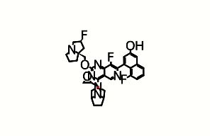 Oc1cc(-c2ncc3c(N4CC5CCC(C4)N5CC4CO4)nc(OC[C@@]45CCCN4C[C@H](F)C5)nc3c2F)c2c(F)cccc2c1